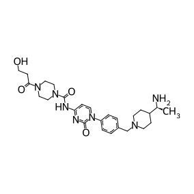 C[C@H](N)C1CCN(Cc2ccc(-n3ccc(NC(=O)N4CCN(C(=O)CCO)CC4)nc3=O)cc2)CC1